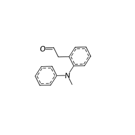 CN(c1ccccc1)c1ccccc1CC=O